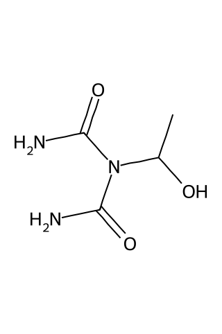 CC(O)N(C(N)=O)C(N)=O